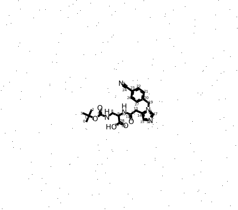 CC(C)(C)OC(=O)NCC(NC(=O)Cc1cncn1Cc1ccc(C#N)cc1)C(=O)O